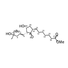 CCCCC(C)(O)CC=C[C@H]1C(=O)[C@H](CCCCCCC(=O)OC)C[C@H]1O